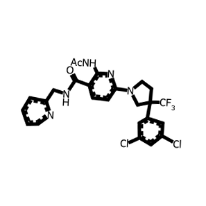 CC(=O)Nc1nc(N2CCC(c3cc(Cl)cc(Cl)c3)(C(F)(F)F)C2)ccc1C(=O)NCc1ccccn1